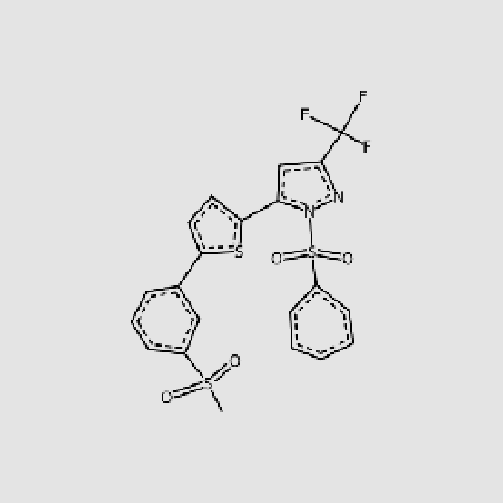 CS(=O)(=O)c1cccc(-c2ccc(-c3cc(C(F)(F)F)nn3S(=O)(=O)c3ccccc3)s2)c1